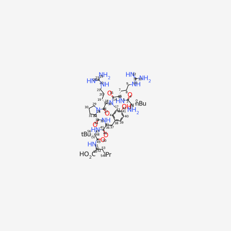 CCCC[C@H](N)C(=O)N[C@@H](CCCNC(=N)N)C(=O)N(C)[C@@H](CCCNC(=N)N)C(=O)N1CCC[C@H]1C(=O)N[C@@H](Cc1ccc(O)cc1)C(=O)N[C@H](C(=O)N[C@@H](CC(C)C)C(=O)O)C(C)(C)C